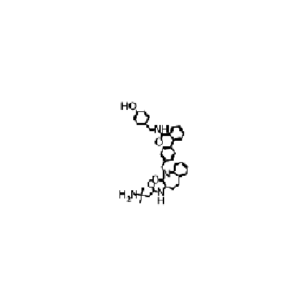 CC(C)(N)CC(=O)NC1CCc2ccccc2N(Cc2ccc(-c3ccccc3C(=O)NCc3ccc(O)cc3)cc2)C1=O